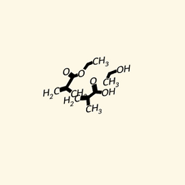 C=C(C)C(=O)O.C=C(C)C(=O)OCC.CCO